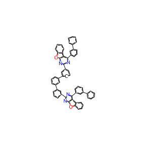 c1ccc(-c2cccc(-c3nc(-c4cccc(-c5cccc(-c6cccc(-c7nc(-c8cccc(-c9ccccc9)c8)c8c(n7)oc7ccccc78)c6)c5)c4)nc4oc5ccccc5c34)c2)cc1